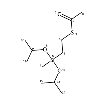 CC(=O)SCC[Si](C)(OC(C)C)OC(C)C